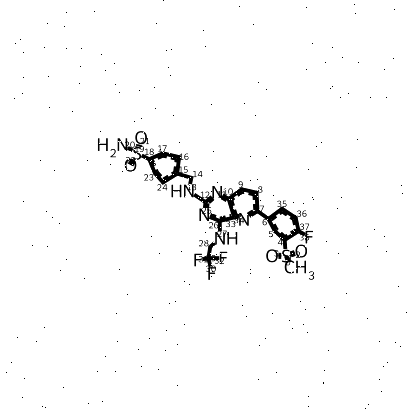 CS(=O)(=O)c1cc(-c2ccc3nc(NCc4ccc(S(N)(=O)=O)cc4)nc(NCC(F)(F)F)c3n2)ccc1F